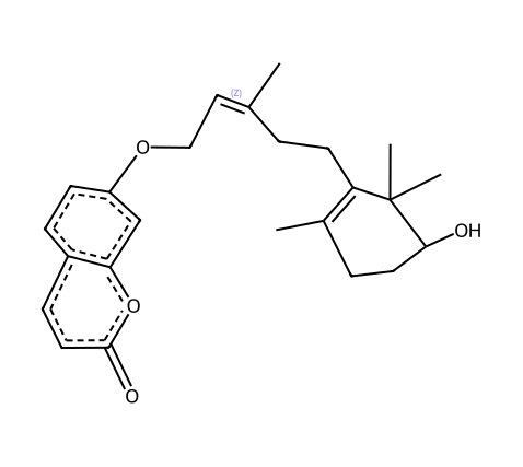 CC1=C(CC/C(C)=C\COc2ccc3ccc(=O)oc3c2)C(C)(C)C(O)CC1